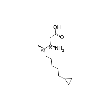 C[C@H](CCCCCC1CC1)[C@H](N)CC(=O)O